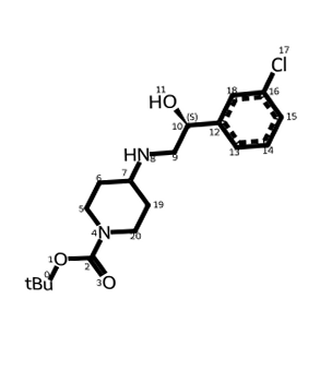 CC(C)(C)OC(=O)N1CCC(NC[C@@H](O)c2cccc(Cl)c2)CC1